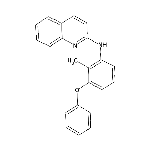 Cc1c(Nc2ccc3ccccc3n2)cccc1Oc1ccccc1